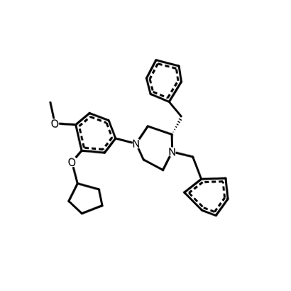 COc1ccc(N2CCN(Cc3ccccc3)[C@@H](Cc3ccccc3)C2)cc1OC1CCCC1